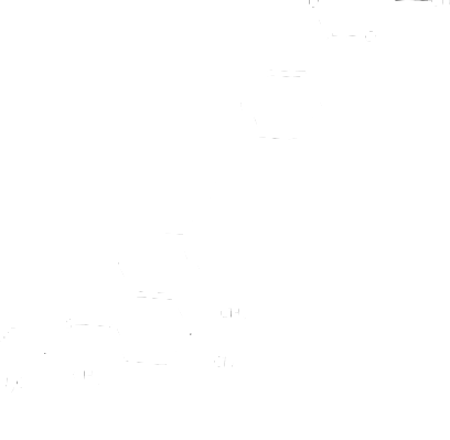 CCOC(=O)c1ccc(C#Cc2ccc3c(c2)C(C)(C)CC=C3SC(C)(C)C)cc1